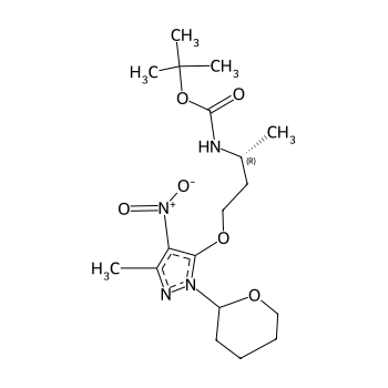 Cc1nn(C2CCCCO2)c(OCC[C@@H](C)NC(=O)OC(C)(C)C)c1[N+](=O)[O-]